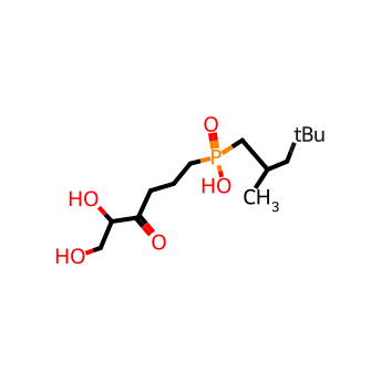 CC(CC(C)(C)C)CP(=O)(O)CCCC(=O)C(O)CO